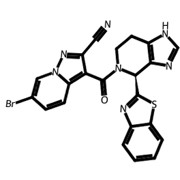 N#Cc1nn2cc(Br)ccc2c1C(=O)N1CCc2[nH]cnc2[C@H]1c1nc2ccccc2s1